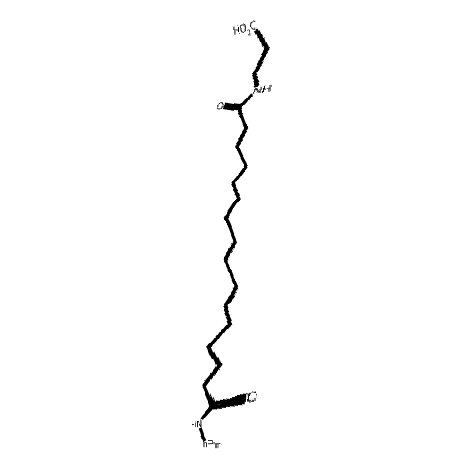 CCCNC(=O)CCCCCCCCCCCCCCC(=O)NCCC(=O)O